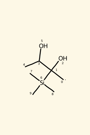 [CH2]C(O)(C(C)O)[Si](C)(C)C